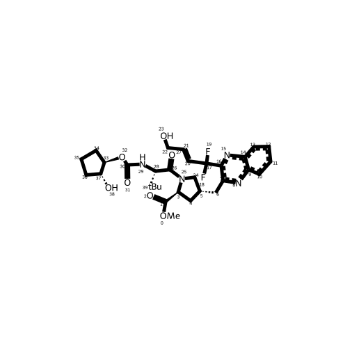 COC(=O)[C@@H]1C[C@@H](Cc2nc3ccccc3nc2C(F)(F)/C=C/CO)CN1C(=O)[C@@H](NC(=O)O[C@@H]1CCC[C@H]1O)C(C)(C)C